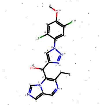 CCc1ncc2cncn2c1C(O)c1cn(-c2cc(F)c(OC)cc2F)nn1